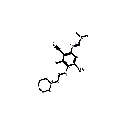 Cc1c(C#N)c(/N=C/N(C)C)cc(N)c1OCCN1CCOCC1